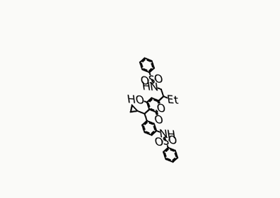 CCC(CNS(=O)(=O)c1ccccc1)c1cc(O)c(C(c2cccc(NS(=O)(=O)c3ccccc3)c2)C2CC2)c(=O)o1